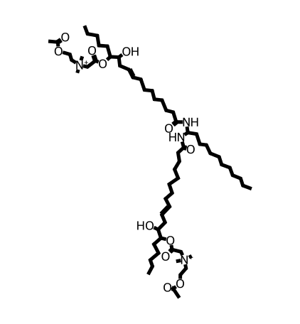 CCCCCCCCCCCC(NC(=O)CCCCCCCC=CCC(O)C(CCCCC)OC(=O)C[N+](C)(C)CCOC(C)=O)NC(=O)CCCCCCCC=CCC(O)C(CCCCC)OC(=O)C[N+](C)(C)CCOC(C)=O